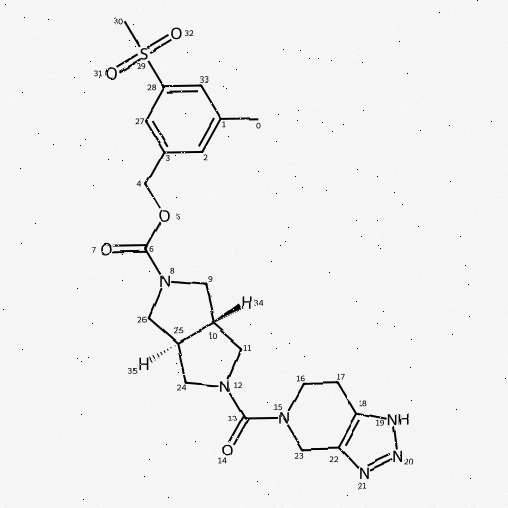 Cc1cc(COC(=O)N2C[C@@H]3CN(C(=O)N4CCc5[nH]nnc5C4)C[C@H]3C2)cc(S(C)(=O)=O)c1